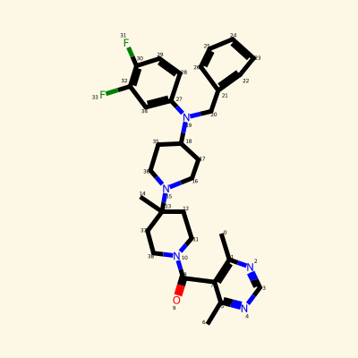 Cc1ncnc(C)c1C(=O)N1CCC(C)(N2CCC(N(Cc3ccccc3)c3ccc(F)c(F)c3)CC2)CC1